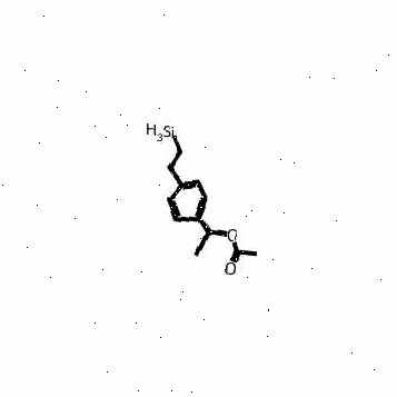 CC(=O)OC(C)c1ccc(CC[SiH3])cc1